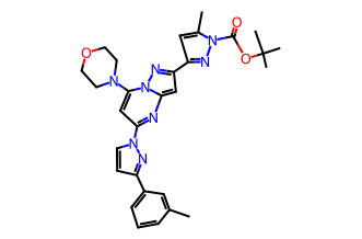 Cc1cccc(-c2ccn(-c3cc(N4CCOCC4)n4nc(-c5cc(C)n(C(=O)OC(C)(C)C)n5)cc4n3)n2)c1